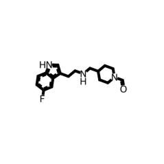 O=CN1CCC(CNCCc2c[nH]c3ccc(F)cc23)CC1